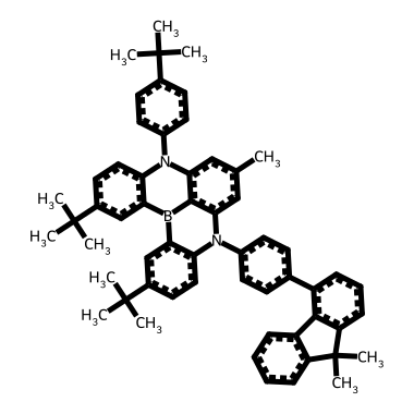 Cc1cc2c3c(c1)N(c1ccc(C(C)(C)C)cc1)c1ccc(C(C)(C)C)cc1B3c1cc(C(C)(C)C)ccc1N2c1ccc(-c2cccc3c2-c2ccccc2C3(C)C)cc1